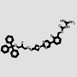 N=C(N)NC(=O)OCc1cccc(-c2cnc(N3CC(=NOCC(F)COC(c4ccccc4)(c4ccccc4)c4ccccc4)C3)nc2)c1F